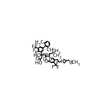 COCC1CN(CCc2cn(C(CC(C)C)C(=O)N[C@](O)(CC(=O)O)c3cc(-c4c(C)cccc4C)cc(C(F)(F)F)c3F)c(=O)cc2C(F)(F)F)C1